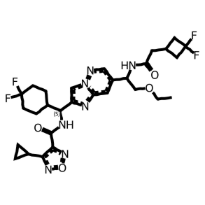 CCOCC(NC(=O)CC1CC(F)(F)C1)c1cnn2cc([C@@H](NC(=O)c3nonc3C3CC3)C3CCC(F)(F)CC3)nc2c1